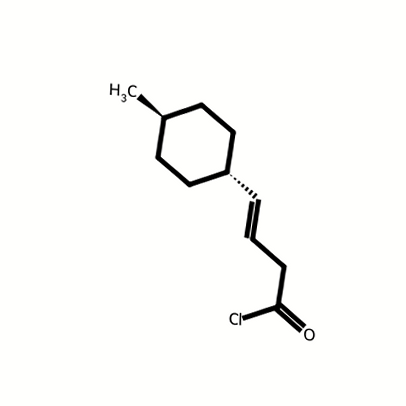 C[C@H]1CC[C@H](C=CCC(=O)Cl)CC1